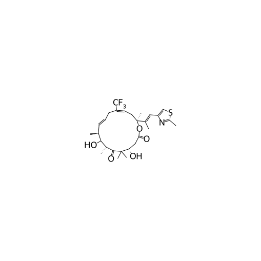 C/C(=C\c1csc(C)n1)[C@]1(C)C/C=C(/C(F)(F)F)C/C=C/[C@H](C)C(O)[C@@H](C)C(=O)C(C)(C)[C@@H](O)CC(=O)O1